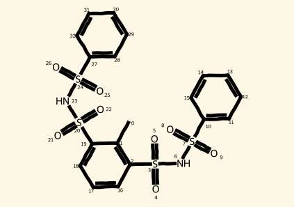 Cc1c(S(=O)(=O)NS(=O)(=O)c2ccccc2)cccc1S(=O)(=O)NS(=O)(=O)c1ccccc1